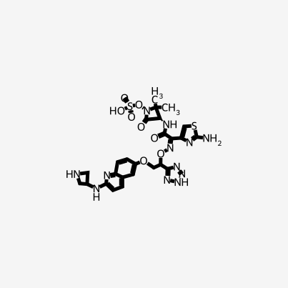 CC1(C)[C@H](NC(=O)/C(=N\OC(COc2ccc3nc(NC4CNC4)ccc3c2)c2nn[nH]n2)c2csc(N)n2)C(=O)N1OS(=O)(=O)O